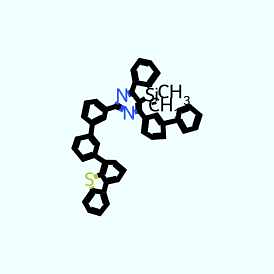 C[Si]1(C)c2ccccc2-c2nc(-c3cccc(-c4cccc(-c5cccc6c5sc5ccccc56)c4)c3)nc(-c3cccc(-c4ccccc4)c3)c21